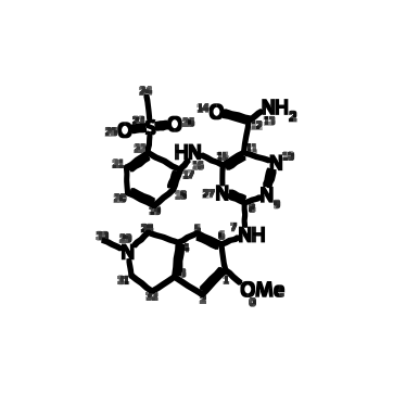 COc1cc2c(cc1Nc1nnc(C(N)=O)c(Nc3ccccc3S(C)(=O)=O)n1)CN(C)CC2